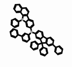 c1ccc(-c2cccc(N(c3ccc4c(c3)C(c3ccccc3)(c3ccccc3)c3cc(-c5ccccc5)ccc3-4)c3ccc4c5ccc6ccccc6c5n(-c5ccccc5)c4c3)c2)cc1